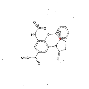 COC(=O)c1cc(N[SH](=O)=O)c(Oc2ccccc2)c(N2C(=O)CCC2=O)c1